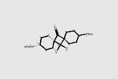 CCCCCCCC1CC[C@]2(CC1)C(=O)[C@@]1(CC[C@@H](CCCCC)CC1)C2(Cl)Cl